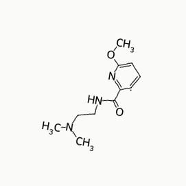 COc1cc[c]c(C(=O)NCCN(C)C)n1